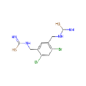 N=C(S)NCc1cc(CNC(=N)S)c(Br)cc1Br